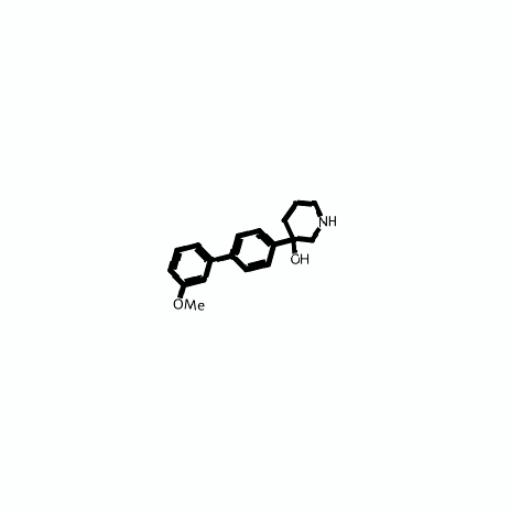 COc1cccc(-c2ccc(C3(O)CCCNC3)cc2)c1